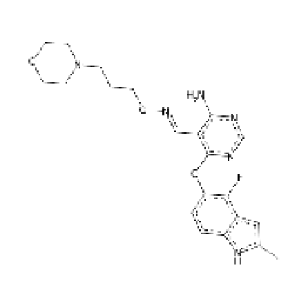 Cc1cc2c(F)c(Oc3ncnc(N)c3C=NOCCCN3CCOCC3)ccc2[nH]1